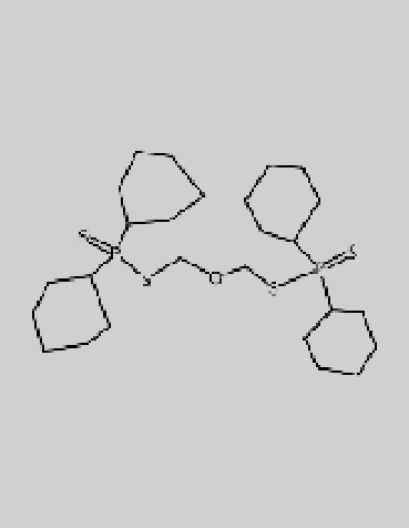 S=P(SCOCSP(=S)(C1CCCCC1)C1CCCCC1)(C1CCCCC1)C1CCCCC1